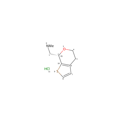 CNC[C@@H]1OCCc2ccsc21.Cl